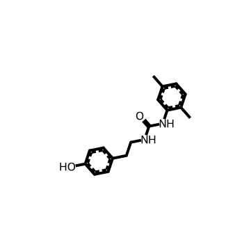 Cc1ccc(C)c(NC(=O)NCCc2ccc(O)cc2)c1